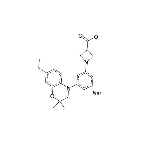 CCc1ccc2c(c1)OC(C)(C)CN2c1cccc(N2CC(C(=O)[O-])C2)c1.[Na+]